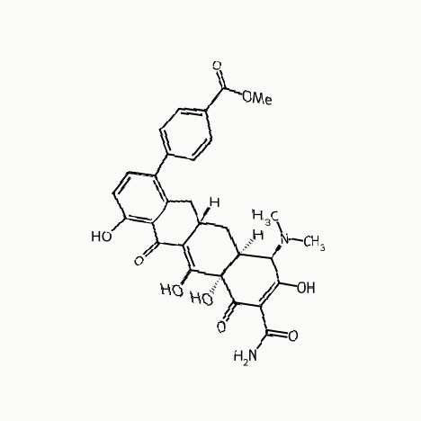 COC(=O)c1ccc(-c2ccc(O)c3c2C[C@@H]2C[C@H]4[C@@H](N(C)C)C(O)=C(C(N)=O)C(=O)[C@@]4(O)C(O)=C2C3=O)cc1